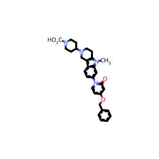 Cn1c2c(c3ccc(-n4ccc(OCc5ccccc5)cc4=O)cc31)CN(C1CCN(C(=O)O)CC1)CC2